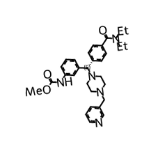 CCN(CC)C(=O)c1ccc([C@@H](c2cccc(NC(=O)OC)c2)N2CCN(Cc3cccnc3)CC2)cc1